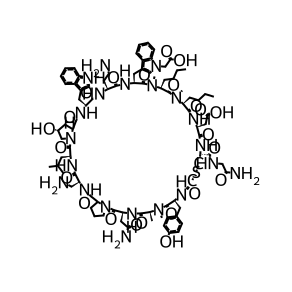 CCCC[C@H]1C(=O)N(C)[C@@H](CCCC)C(=O)N[C@@H](CC(=O)O)C(=O)N[C@H](C(=O)NCC(N)=O)CSCC(=O)N[C@@H](Cc2ccc(O)cc2)C(=O)N(C)[C@@H](C)C(=O)N[C@@H](CC(N)=O)C(=O)N2CCCC2C(=O)N[C@@H](CN)C(=O)N[C@@H](CC(C)C)C(=O)N2C[C@H](O)C[C@H]2C(=O)N[C@@H](Cc2c[nH]c3ccccc23)C(=O)N[C@@H](CCN)C(=O)N[C@@H](Cc2cn(CC(=O)O)c3ccccc23)C(=O)N1C